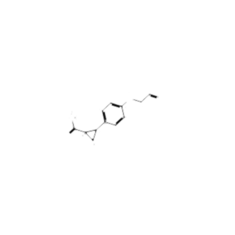 C=CCOc1ccc(C2CC2C(=O)O)cc1